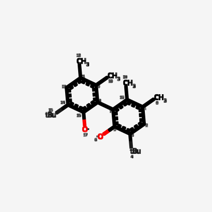 Cc1cc(C(C)(C)C)c([O])c(-c2c(C)c(C)cc(C(C)(C)C)c2[O])c1C